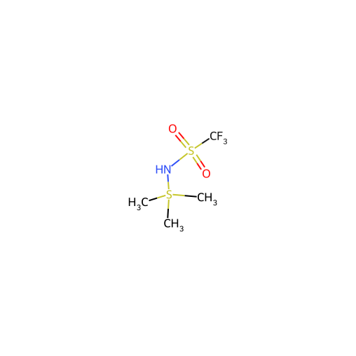 CS(C)(C)NS(=O)(=O)C(F)(F)F